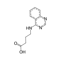 O=C(O)CCCNc1ncnc2ccccc12